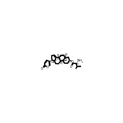 CC(C)[C@@H](N)C(=O)O[C@H]1CC[C@@]2(C)[C@H](CC[C@H]3C4=CC[C@H](c5ccc(=O)oc5)[C@@]4(C)CC[C@@H]32)C1